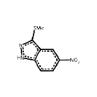 CSc1n[nH]c2ccc([N+](=O)[O-])cc12